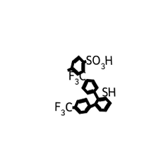 Cc1ccc(S(=O)(=O)O)cc1.FC(F)(F)c1ccc(-c2cccc(S)c2-c2ccc(C(F)(F)F)cc2)cc1